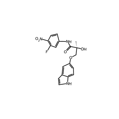 C[C@](O)(COc1ccc2[nH]ccc2c1)C(=O)Nc1ccc([N+](=O)[O-])c(F)c1